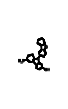 Bc1ccc2c(c1)c1ccc(O)cc1n2-c1cc2c(cn1)oc1ccccc12